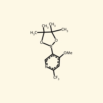 COc1cc(C(F)(F)F)ncc1B1OC(C)(C)C(C)(C)O1